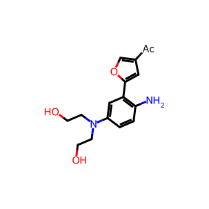 CC(=O)c1coc(-c2cc(N(CCO)CCO)ccc2N)c1